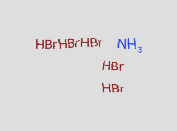 Br.Br.Br.Br.Br.N